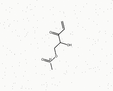 C=CC(=O)C(O)CO[PH](C)=O